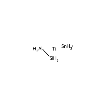 [AlH2][SiH3].[SnH2].[Ti]